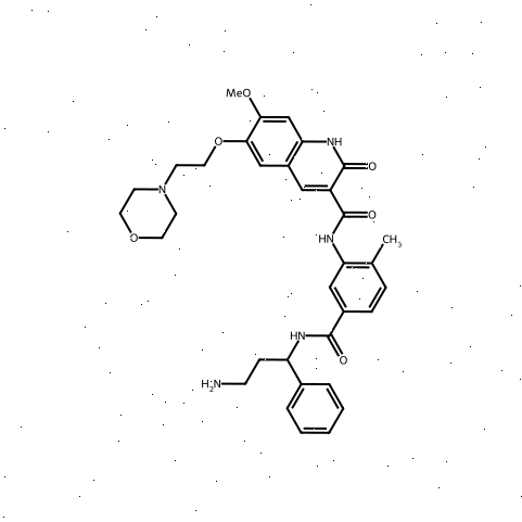 COc1cc2[nH]c(=O)c(C(=O)Nc3cc(C(=O)NC(CCN)c4ccccc4)ccc3C)cc2cc1OCCN1CCOCC1